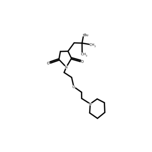 CC(C)(C)C(C)(C)CC1CC(=O)N(CCOCCN2CCCCC2)C1=O